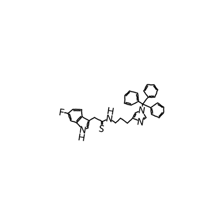 Fc1ccc2c(CC(=S)NCCCc3cn(C(c4ccccc4)(c4ccccc4)c4ccccc4)cn3)c[nH]c2c1